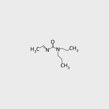 CC=NC(=O)N(CCC)CCC